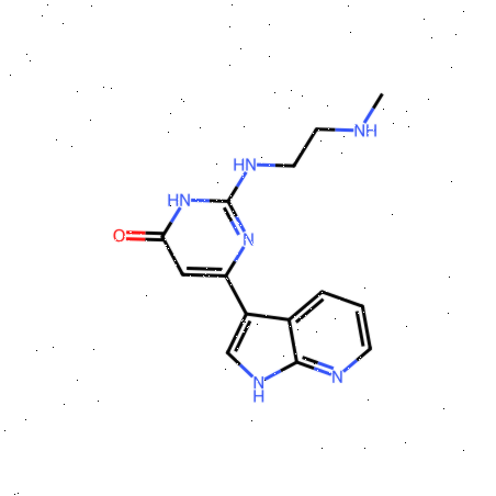 CNCCNc1nc(-c2c[nH]c3ncccc23)cc(=O)[nH]1